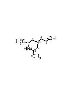 CC1CN(CCO)CC(C)N1